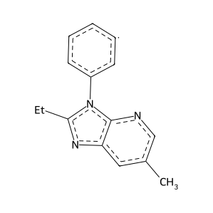 CCc1nc2cc(C)cnc2n1-c1c[c]ccc1